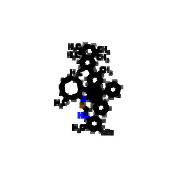 C=C1/C=C\C=C/C/C=C(c2cc(-c3ccccc3)cc3cc(C)c(-c4cc5c(cc4C)C(C)(C)CCC5(C)C)cc23)\C(N(SCNc2ccc(CCCC)cc2C)c2ccc(-c3ccccc3)cc2)=C/1